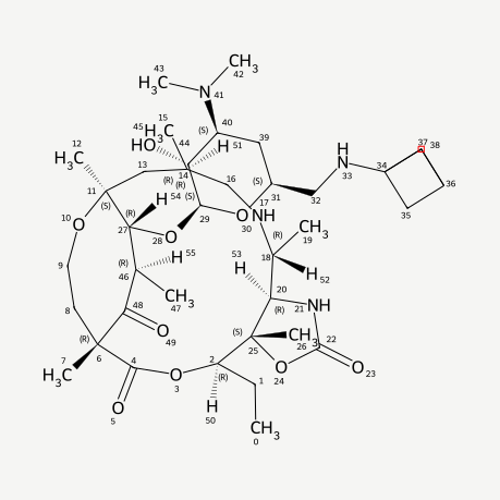 CC[C@H]1OC(=O)[C@]2(C)CCO[C@@](C)(C[C@@H](C)CN[C@H](C)[C@H]3NC(=O)O[C@@]31C)[C@H](O[C@@H]1O[C@H](CNC34CC(C3)C4)C[C@H](N(C)C)[C@H]1O)[C@@H](C)C2=O